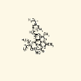 CC(=O)O[C@H]1[C@H](OC(C)=O)[C@@H](OP(=O)(O)O)O[C@@H](C)[C@H]1OC(C)=O.CCN(CC)CC.CCN(CC)CC